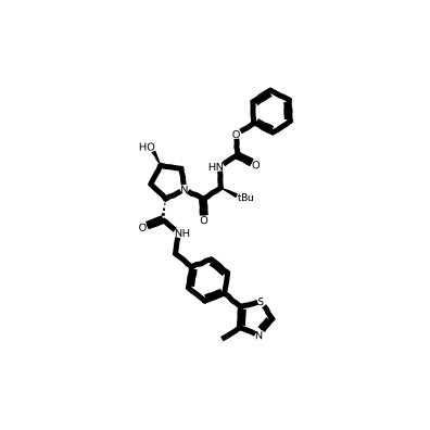 Cc1ncsc1-c1ccc(CNC(=O)[C@@H]2C[C@@H](O)CN2C(=O)[C@@H](NC(=O)Oc2ccccc2)C(C)(C)C)cc1